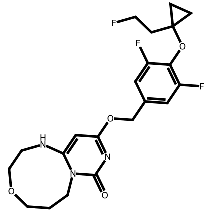 O=c1nc(OCc2cc(F)c(OC3(CCF)CC3)c(F)c2)cc2n1CCCOCCN2